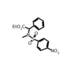 CCOC(=O)C(c1ccccc1)N(C)S(=O)(=O)c1ccc([N+](=O)[O-])cc1